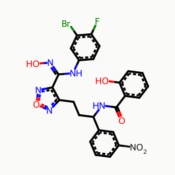 O=C(NC(CCc1nonc1C(=NO)Nc1ccc(F)c(Br)c1)c1cccc([N+](=O)[O-])c1)c1ccccc1O